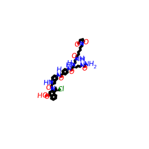 NC(=O)NCCC[C@H](NCCNC(=O)CCCCCN1C(=O)C=CC1=O)C(=O)Nc1ccc(C(=O)Nc2ccc3[nH]c(C(=O)N4C[C@@H](CCl)c5c4cc(OO)c4ccccc54)cc3c2)cc1